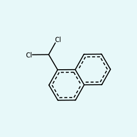 ClC(Cl)c1cccc2ccccc12